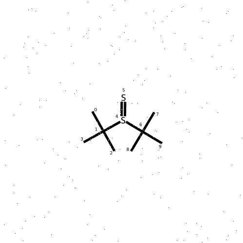 CC(C)(C)S(=S)C(C)(C)C